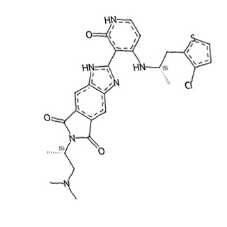 C[C@@H](Cc1sccc1Cl)Nc1cc[nH]c(=O)c1-c1nc2cc3c(cc2[nH]1)C(=O)N([C@@H](C)CN(C)C)C3=O